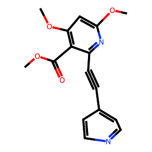 COC(=O)c1c(OC)cc(OC)nc1C#Cc1ccncc1